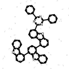 c1ccc(-c2nc(-c3ccccc3)nc(-c3cccc4c3oc3cccc(-c5ccc(-c6cccc7sc8ccccc8c67)c6sc7ccccc7c56)c34)n2)cc1